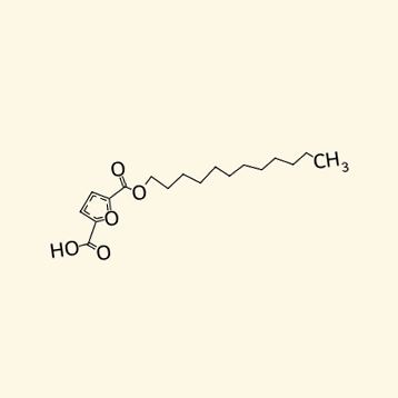 CCCCCCCCCCCCOC(=O)c1ccc(C(=O)O)o1